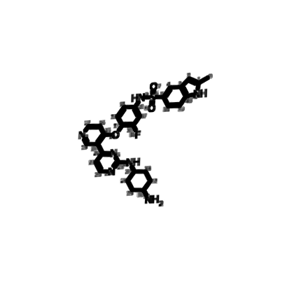 Cc1cc2cc(S(=O)(=O)Nc3ccc(Oc4ccncc4-c4ccnc(NC5CCC(N)CC5)n4)c(F)c3)ccc2[nH]1